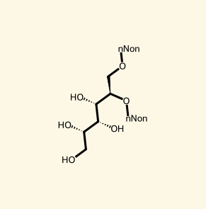 CCCCCCCCCOC[C@@H](OCCCCCCCCC)[C@@H](O)[C@H](O)[C@@H](O)CO